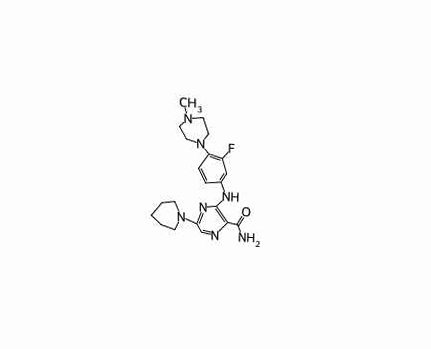 CN1CCN(c2ccc(Nc3nc(N4CCCCC4)cnc3C(N)=O)cc2F)CC1